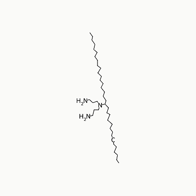 CCCCCCCCCCCCCCCCCCC(CCCCCCCCCCCCCCC)N(CCCN)CCCN